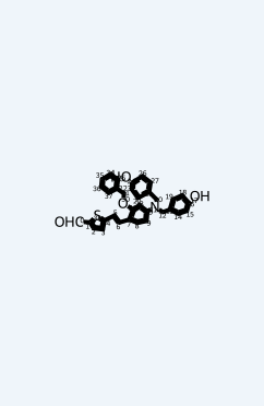 O=Cc1ccc(C=Cc2ccc(N(Cc3ccc(O)cc3)Cc3ccc(O)cc3)cc2OCc2ccccc2)s1